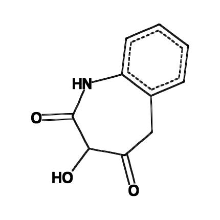 O=C1Cc2ccccc2NC(=O)C1O